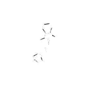 Cc1cc[n+](CCCN2C(=O)c3ccccc3C2=O)cc1.[Br-]